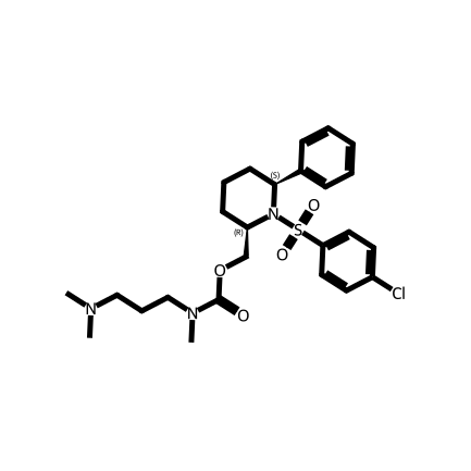 CN(C)CCCN(C)C(=O)OC[C@H]1CCC[C@@H](c2ccccc2)N1S(=O)(=O)c1ccc(Cl)cc1